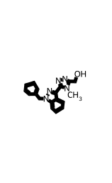 Cn1c(CO)nnc1-c1nn(Cc2ccccc2)c2ccccc12